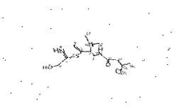 C=C(SC(=N)CO)C(CNC(=O)/C=C(/C)Cl)N(C)C